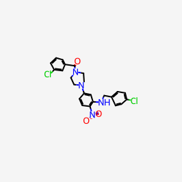 O=C(c1cccc(Cl)c1)N1CCN(c2ccc([N+](=O)[O-])c(NCc3ccc(Cl)cc3)c2)CC1